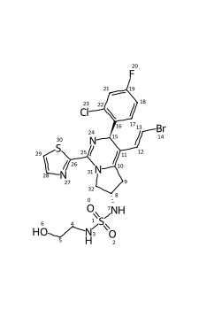 O=S(=O)(NCCO)N[C@H]1CC2=C(/C=C/Br)[C@H](c3ccc(F)cc3Cl)N=C(c3nccs3)N2C1